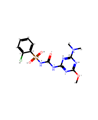 COc1nc(NC(=O)NS(=O)(=O)c2ccccc2Cl)nc(N(C)C)n1